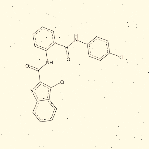 O=C(Nc1ccc(Cl)cc1)c1ccccc1NC(=O)c1sc2ccccc2c1Cl